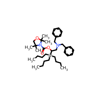 CCC[CH2][Sn]([CH2]CCC)([CH2]CCC)[CH](CN(Cc1ccccc1)Cc1ccccc1)OC(=O)N1C(C)(C)COC1(C)C